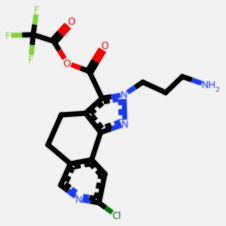 NCCCn1nc2c(c1C(=O)OC(=O)C(F)(F)F)CCc1cnc(Cl)cc1-2